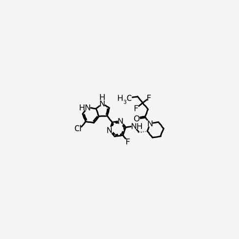 CCC(F)(F)CC(=O)N1CCCC[C@@H]1CNc1nc(C2=CNC3NC=C(Cl)C=C23)ncc1F